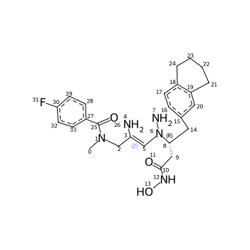 CN(C/C(N)=C/N(N)[C@@H](CC(=O)NO)Cc1ccc2c(c1)CCCC2)C(=O)c1ccc(F)cc1